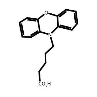 O=C(O)CCCCN1c2ccccc2Oc2ccccc21